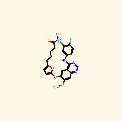 COc1cc2ncnc(Nc3ccc(F)c(Cl)c3)c2cc1Oc1ccc(CCCCC(=O)NO)o1